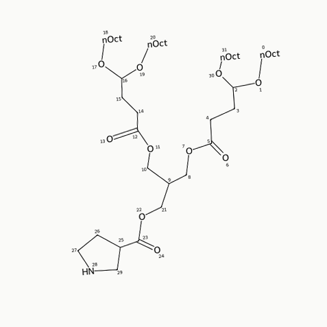 CCCCCCCCOC(CCC(=O)OCC(COC(=O)CCC(OCCCCCCCC)OCCCCCCCC)COC(=O)C1CCNC1)OCCCCCCCC